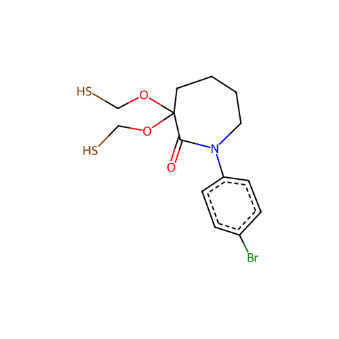 O=C1N(c2ccc(Br)cc2)CCCCC1(OCS)OCS